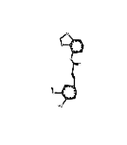 COc1cc(C=CC(=O)Oc2cccc3c2OCO3)ccc1O